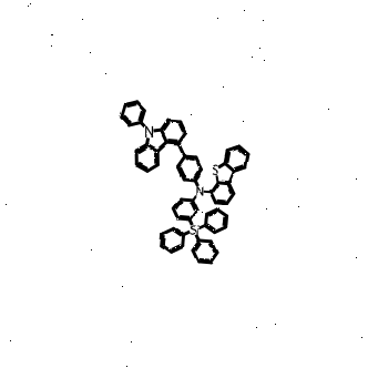 c1ccc(-n2c3ccccc3c3c(-c4ccc(N(c5cccc([Si](c6ccccc6)(c6ccccc6)c6ccccc6)c5)c5cccc6c5sc5ccccc56)cc4)cccc32)cc1